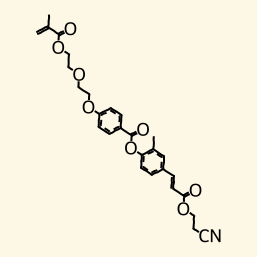 C=C(C)C(=O)OCCOCCOc1ccc(C(=O)Oc2ccc(/C=C/C(=O)OCCC#N)cc2C)cc1